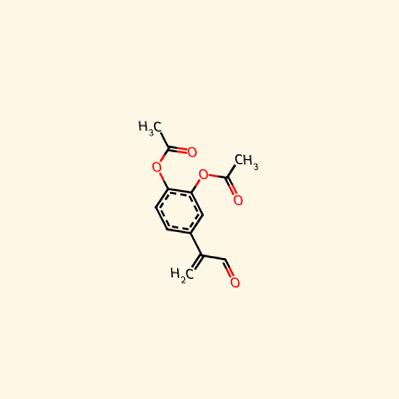 C=C(C=O)c1ccc(OC(C)=O)c(OC(C)=O)c1